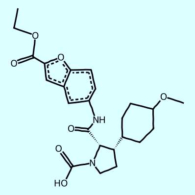 CCOC(=O)c1cc2cc(NC(=O)[C@@H]3[C@H](C4CCC(OC)CC4)CCN3C(=O)O)ccc2o1